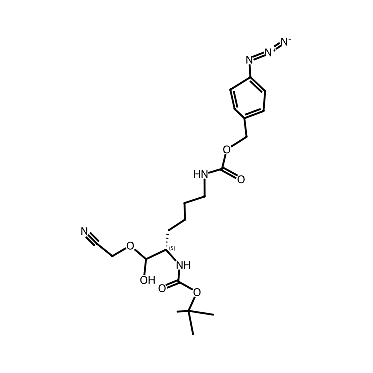 CC(C)(C)OC(=O)N[C@@H](CCCCNC(=O)OCc1ccc(N=[N+]=[N-])cc1)C(O)OCC#N